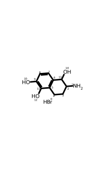 Br.NC1CCc2c(ccc(O)c2O)C1O